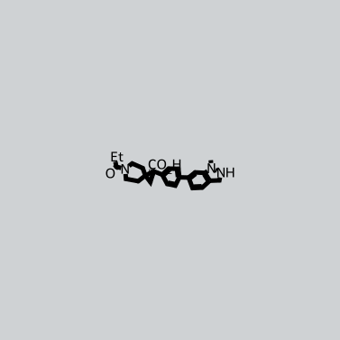 CCC(=O)N1CCC2(CC1)C[C@]2(C(=O)O)c1ccc(-c2ccc3c(c2)N(C)NC3)cc1